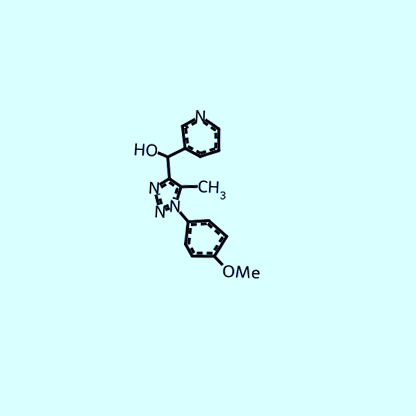 COc1ccc(-n2nnc(C(O)c3cccnc3)c2C)cc1